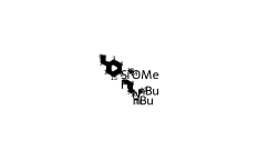 C=Cc1ccc([SiH](CCCN(CCCC)CCCC)COC)cc1